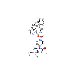 C=C/C=C\C(=C/C)N(C(C)=O)C1CCN(C(=O)OC2CCC(c3cccc(F)c3F)C(C)c3cccnc32)CC1